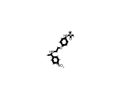 CC(NCCOc1ccc(NS(C)(=O)=O)cc1)c1ccc([N+](=O)[O-])cc1